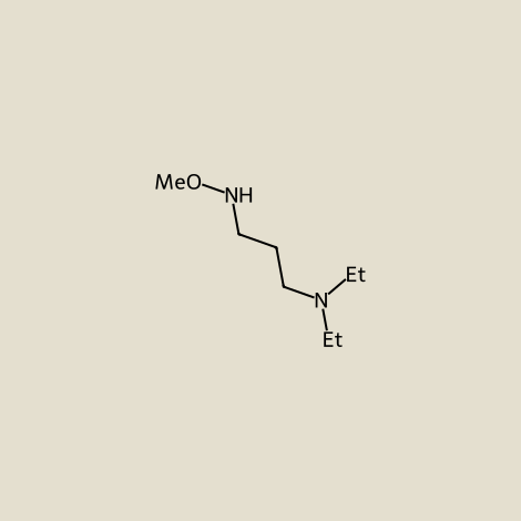 CCN(CC)CCCNOC